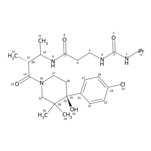 CC(C)NC(=O)NCCC(=O)NC(C)[C@@H](C)C(=O)N1CC[C@](O)(c2ccc(Cl)cc2)C(C)(C)C1